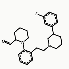 O=CC1CCCCN1c1ccccc1CCN1CCCC(c2cccc(F)c2)C1